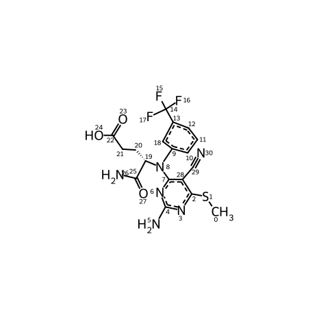 CSc1nc(N)nc(N(c2cccc(C(F)(F)F)c2)[C@@H](CCC(=O)O)C(N)=O)c1C#N